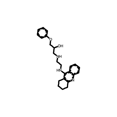 OC(CNCCNc1c2c(nc3ccccc13)CCCC2)COc1ccccc1